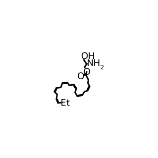 CC/C=C\C/C=C\C/C=C\C/C=C\C/C=C\C/C=C\CCC(=O)OCC(N)CO